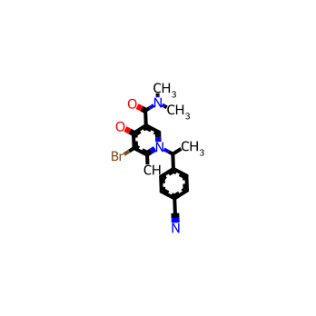 Cc1c(Br)c(=O)c(C(=O)N(C)C)cn1C(C)c1ccc(C#N)cc1